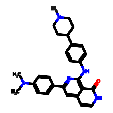 CCN1CCC(c2ccc(Nc3nc(-c4ccc(N(C)C)cc4)cc4cc[nH]c(=O)c34)cc2)CC1